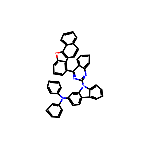 c1ccc(N(c2ccccc2)c2ccc3c4ccccc4n(-c4nc(-c5cccc6oc7c8ccccc8ccc7c56)c5ccccc5n4)c3c2)cc1